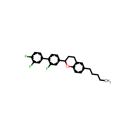 CCCCCc1ccc2c(c1)CCC(c1ccc(-c3ccc(F)c(F)c3)c(F)c1)O2